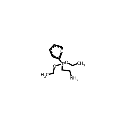 CC[O][Ti]([CH2]CN)([O]CC)[c]1ccccc1